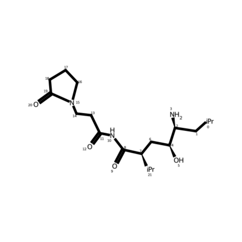 CC(C)C[C@H](N)[C@@H](O)C[C@H](C(=O)NC(=O)CCN1CCCC1=O)C(C)C